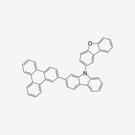 c1ccc2c(c1)oc1ccc(-n3c4ccccc4c4ccc(-c5ccc6c7ccccc7c7ccccc7c6c5)cc43)cc12